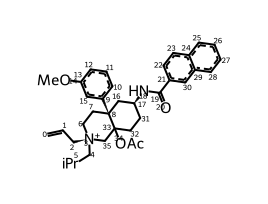 C=CC[N@@+]1(CC(C)C)CC[C@]2(c3cccc(OC)c3)C[C@@H](NC(=O)c3ccc4ccccc4c3)CCC2(OC(C)=O)C1